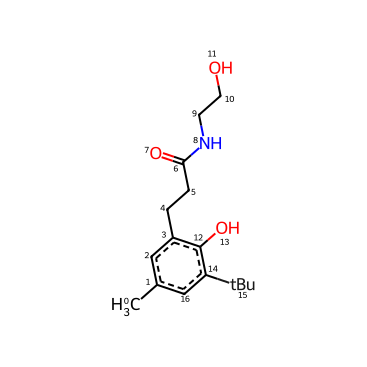 Cc1cc(CCC(=O)NCCO)c(O)c(C(C)(C)C)c1